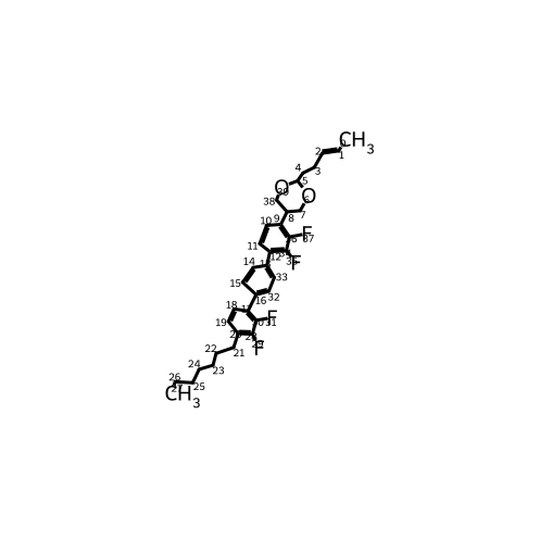 C/C=C/CCC1OCC(c2ccc(-c3ccc(-c4ccc(CCCCCCC)c(F)c4F)cc3)c(F)c2F)CO1